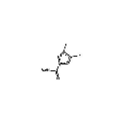 CNC(=O)n1cc(C)c(C)n1